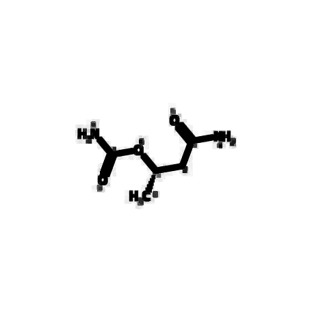 C[C@@H](CC(N)=O)OC(N)=O